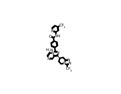 N[N+]12C=CN=CC1=C([C@@H]1CCn3c(nnc3C(F)(F)F)C1)N=C2c1ccc(C(=O)Nc2cc(C(F)(F)F)ccn2)cc1